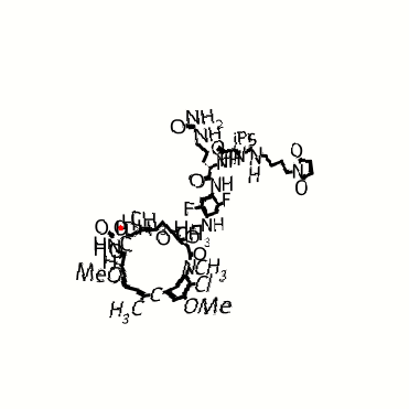 COc1cc2cc(c1Cl)N(C)C(=O)C[C@H](OCNc1cc(F)c(NC(=O)[C@H](CCCNC(N)=O)NC(=O)[C@@H](NC(=S)NCCCCN3C(=O)C=CC3=O)C(C)C)cc1F)[C@@]1(C)C[C@@H](O1)[C@H](C)[C@@H]1C[C@@](O)(NC(=O)O1)[C@H](OC)/C=C/C=C(\C)C2